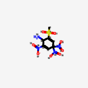 CS(=O)(=O)C1=CC([N+](=O)[O-])([N+](=O)[O-])C=C([N+](=O)[O-])C1N